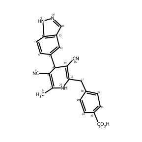 CC1=C(C#N)C(c2ccc3[nH]ncc3c2)C(C#N)=C(Cc2ccc(C(=O)O)cc2)N1